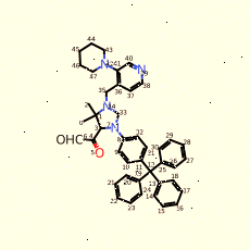 CC1(C)C(C(=O)C=O)N(c2ccc(C(c3ccccc3)(c3ccccc3)c3ccccc3)cc2)CN1Cc1ccncc1N1CCCCC1